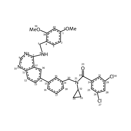 COc1ccc(CNc2ncnc3ccc(-c4cccc(CN(C(=O)c5cc(Cl)cc(Cl)c5)C5CC5)c4)cc23)c(OC)c1